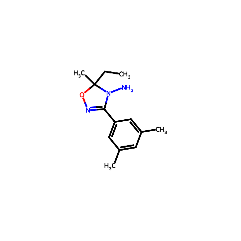 CCC1(C)ON=C(c2cc(C)cc(C)c2)N1N